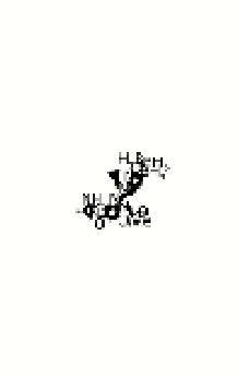 BC(B)(B)Oc1ccc2cc(-c3nc4cc(C(=O)N5C[C@@H](C)[C@@H](N)[C@H]5C)cc(OC)c4n3CC[S+](C)[O-])n(CC3CC3)c2n1